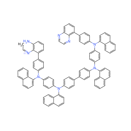 C/C=N\c1c(N)cccc1-c1ccc(N(c2ccc(N(c3ccc(-c4ccc(N(c5ccc(N(c6ccc(-c7cccc8nccnc78)cc6)c6cccc7ccccc67)cc5)c5cccc6ccccc56)cc4)cc3)c3cccc4ccccc34)cc2)c2cccc3ccccc23)cc1